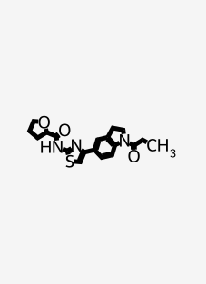 CCC(=O)N1CCc2cc(-c3csc(NC(=O)C4CCCO4)n3)ccc21